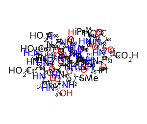 CSCC[C@H](NC(=O)[C@H](CO)NC(=O)[C@H](C)NC(=O)[C@H](CCC(=O)O)NC(=O)[C@H](C)NC(=O)[C@H](Cc1c[nH]cn1)NC(=O)CNC(=O)[C@H](CC(C)C)NC(=O)[C@H](CCC(=O)O)NC(=O)[C@H](CC(=O)O)NC(=O)[C@H](CC(C)C)NC(=O)[C@@H](N)CC(C)C)C(=O)N[C@@H](CCCNC(=N)N)C(=O)N[C@H](C(=O)N[C@@H](CO)C(=O)N[C@@H](CC(=O)O)C(=O)N[C@@H](CC(C)C)C(=O)O)C(C)C